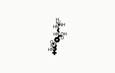 CC(C)(C)c1cc2cn(-c3ccc([C@@H](NCCCNC(=N)N)C(=O)O)cc3)c(=O)nc2[nH]1